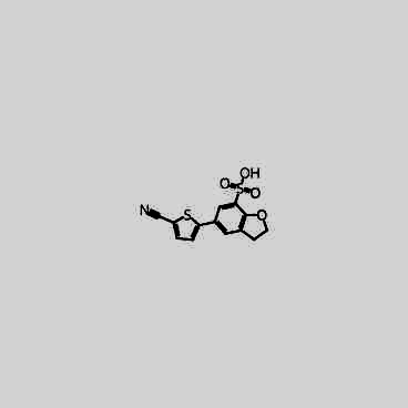 N#Cc1ccc(-c2cc3c(c(S(=O)(=O)O)c2)OCC3)s1